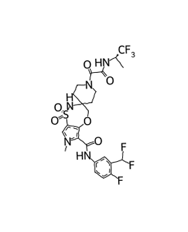 C[C@@H](NC(=O)C(=O)N1CCC2(CC1)COc1c(cn(C)c1C(=O)Nc1ccc(F)c(C(F)F)c1)S(=O)(=O)N2)C(F)(F)F